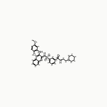 COc1ccc(Cl)c(Nc2nc3ccccc3nc2NS(=O)(=O)c2cccc(C(=O)NCCN3CCCCC3)c2)c1